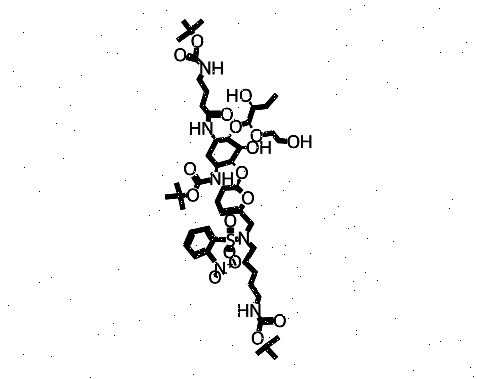 CC[C@@H](O)[C@H](OCCO)O[C@@H]1[C@@H](O)[C@H](O[C@@H]2CCC=C(CN(CCCCCNC(=O)OC(C)(C)C)S(=O)(=O)c3ccccc3[N+](=O)[O-])O2)[C@@H](NC(=O)OC(C)(C)C)C[C@H]1NC(=O)CCCNC(=O)OC(C)(C)C